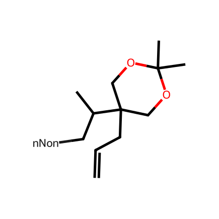 C=CCC1(C(C)CCCCCCCCCC)COC(C)(C)OC1